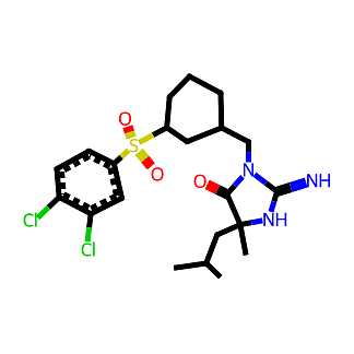 CC(C)CC1(C)NC(=N)N(CC2CCCC(S(=O)(=O)c3ccc(Cl)c(Cl)c3)C2)C1=O